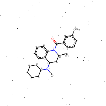 COc1cccc(C(=O)N2c3ccccc3C(N(C(C)=O)C3CCCCC3)CC2C)c1